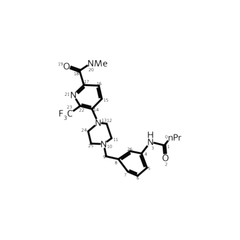 CCCC(=O)Nc1cccc(CN2CCN(c3ccc(C(=O)NC)nc3C(F)(F)F)CC2)c1